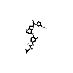 CC(=O)OC1CCN(C(=O)c2cc3nccc(Oc4ccc(NC(=O)NC5CC5)cc4F)c3s2)C1